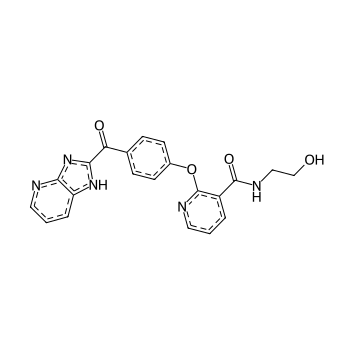 O=C(c1ccc(Oc2ncccc2C(=O)NCCO)cc1)c1nc2ncccc2[nH]1